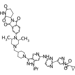 CC1CN(CC2CCN(c3nn(C(C)C)c4cc(Nc5ccnc(-c6cnn(S(=O)(=O)C7CC7)c6)n5)ncc34)CC2)CC(C)N1c1ccc2c(c1)C(=O)N(C1CCC(=O)NC1=O)C2=O